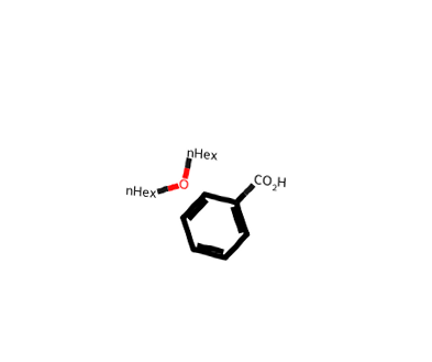 CCCCCCOCCCCCC.O=C(O)c1ccccc1